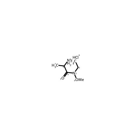 CON(CC(F)(F)F)C(=O)C(C)N.Cl